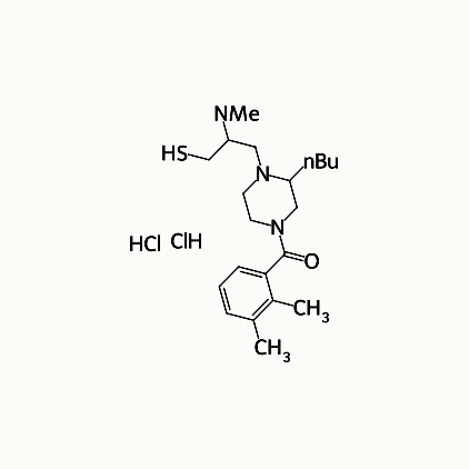 CCCCC1CN(C(=O)c2cccc(C)c2C)CCN1CC(CS)NC.Cl.Cl